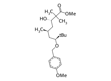 COC(=O)C(C)(C)[C@@H](O)C[C@H](C)C[C@H](OCc1ccc(OC)cc1)C(C)(C)C